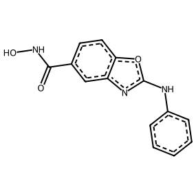 O=C(NO)c1ccc2oc(Nc3ccccc3)nc2c1